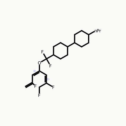 C=C(F)/C=C(\C=C(\F)CF)OC(F)(F)C1CCC(C2CCC(CCC)CC2)CC1